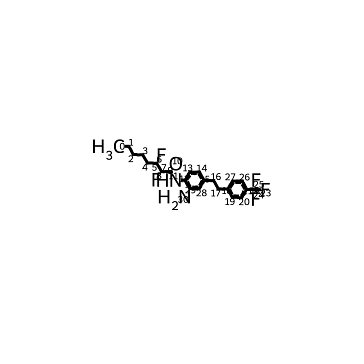 CCCCC[C@H](F)[C@H](F)C(=O)Nc1ccc(CCc2ccc(C(F)(F)F)cc2)cc1N